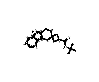 CC(C)(C)OC(=O)N1CC2(CCc3[nH]c4cncnc4c3C2)C1